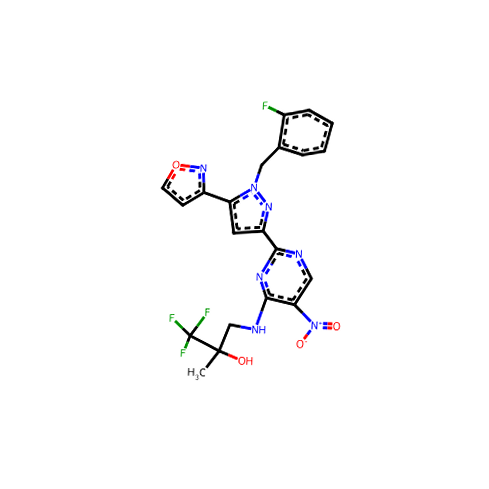 CC(O)(CNc1nc(-c2cc(-c3ccon3)n(Cc3ccccc3F)n2)ncc1[N+](=O)[O-])C(F)(F)F